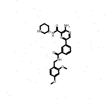 COc1ccc(CNC(=O)c2cccc(-c3cnc(N)c(C(=O)N[C@H]4CCCNC4)n3)c2)c(OC)c1